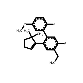 CCc1cc(C2=CCCC2(C)C)c(-c2cc(OC)ccc2F)cc1F